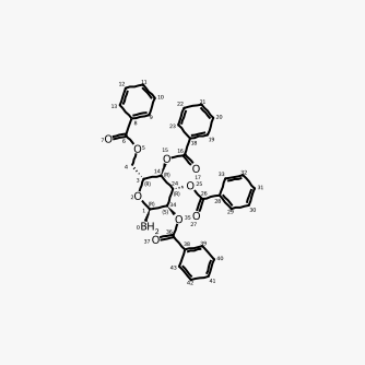 B[C@H]1O[C@H](COC(=O)c2ccccc2)[C@@H](OC(=O)c2ccccc2)[C@H](OC(=O)c2ccccc2)[C@H]1OC(=O)c1ccccc1